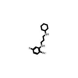 CC(=O)c1ccc(F)cc1NCCCNC1CCCCC1